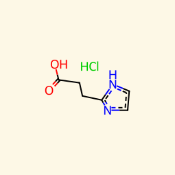 Cl.O=C(O)CCc1ncc[nH]1